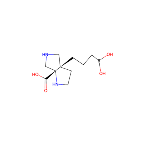 O=C(O)[C@@]12CNC[C@]1(CCCB(O)O)CCN2